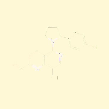 Cc1cnc(N2CCCC2c2ccc(Cl)cc2)c2ccc(C=O)nc12